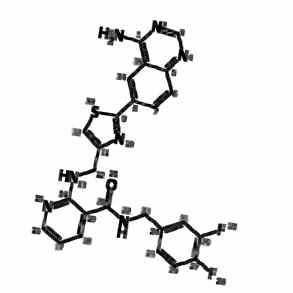 Nc1ncnc2ccc(-c3nc(CNc4ncccc4C(=O)NCc4ccc(F)c(F)c4)cs3)cc12